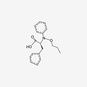 CCCON(c1ccccc1)[C@@H](Cc1ccccc1)C(=O)O